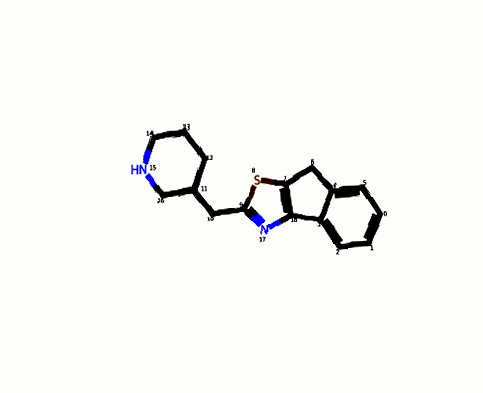 c1ccc2c(c1)Cc1sc(CC3CCCNC3)nc1-2